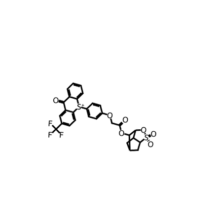 O=C(COc1ccc(-[s+]2c3ccccc3c(=O)c3cc(C(F)(F)F)ccc32)cc1)OC1C2CC3C1OS(=O)(=O)C3C2